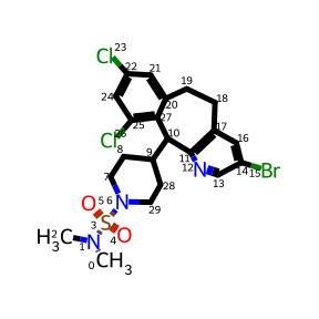 CN(C)S(=O)(=O)N1CCC(C2c3ncc(Br)cc3CCc3cc(Cl)cc(Cl)c32)CC1